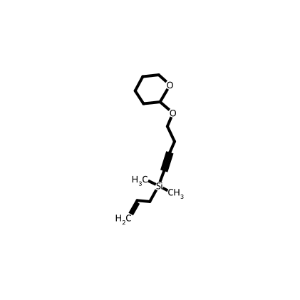 C=CC[Si](C)(C)C#CCCOC1CCCCO1